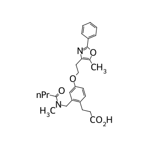 CCCC(=O)N(C)Cc1cc(OCCc2nc(-c3ccccc3)oc2C)ccc1CCC(=O)O